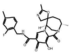 CC1=NCC2(CC[C@H](C)N3C[C@H]2n2cc(C(=O)NCc4ccc(C)cc4F)c(=O)c(O)c2C3=O)O1